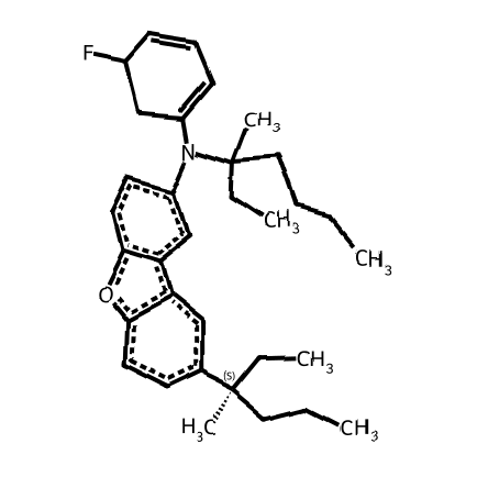 CCCCC(C)(CC)N(C1=CC=CC(F)C1)c1ccc2oc3ccc([C@@](C)(CC)CCC)cc3c2c1